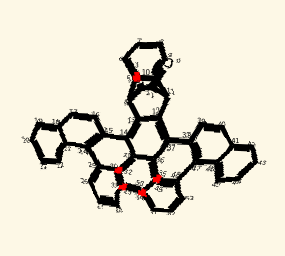 O=C1C(=O)C2c3ccccc3C1c1c2c(-c2ccc3ccccc3c2-c2ccccc2)c2ccccc2c1-c1ccc2ccccc2c1-c1ccccc1